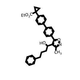 CCOC(=O)C1(c2ccc(-c3ccc(-c4onc(C)c4C(O)CCCc4ccccc4)cc3)cc2)CC1